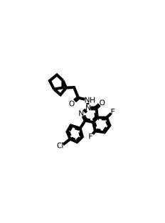 O=C(CC1CC2CCC1C2)Nn1nc(-c2ccc(Cl)cc2)c2c(F)ccc(F)c2c1=O